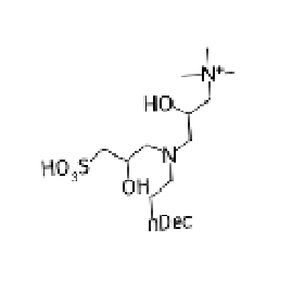 CCCCCCCCCCCCN(CC(O)C[N+](C)(C)C)CC(O)CS(=O)(=O)O